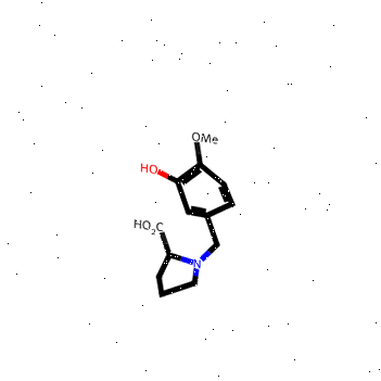 COc1ccc(CN2CCCC2C(=O)O)cc1O